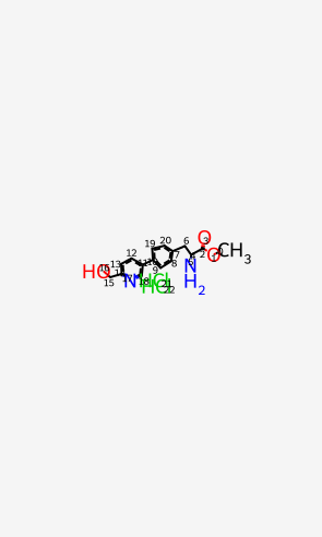 COC(=O)C(N)Cc1ccc(-c2ccc(CO)nc2)cc1.Cl.Cl